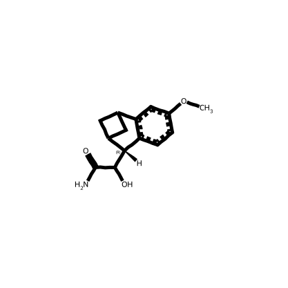 COc1ccc2c(c1)C1CC(C1)[C@H]2C(O)C(N)=O